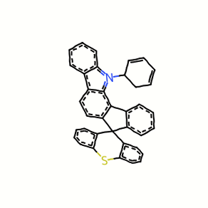 C1=CCC(n2c3ccccc3c3ccc4c(c32)-c2ccccc2C42c3ccccc3Sc3ccccc32)C=C1